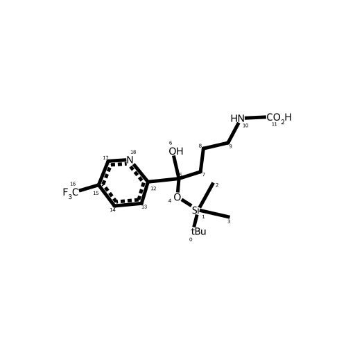 CC(C)(C)[Si](C)(C)OC(O)(CCCNC(=O)O)c1ccc(C(F)(F)F)cn1